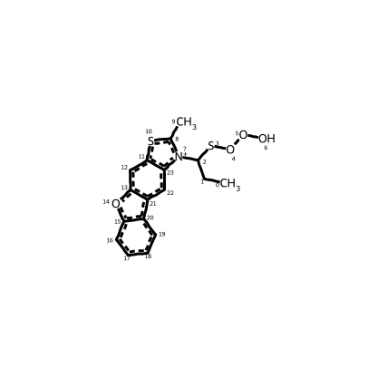 CCC(SOOO)[n+]1c(C)sc2cc3oc4ccccc4c3cc21